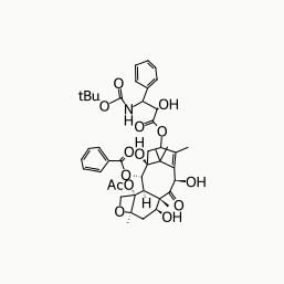 CC(=O)O[C@@]12CO[C@]1(C)C[C@H](O)[C@@]1(C)C(=O)[C@H](O)C3=C(C)C(OC(=O)[C@H](O)C(NC(=O)OC(C)(C)C)c4ccccc4)C[C@@](O)([C@@H](OC(=O)c4ccccc4)[C@@H]12)C3(C)C